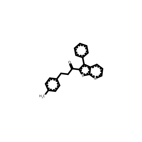 Cc1ccc(CCC(=O)c2sc3ncccc3c2-c2ccccc2)cc1